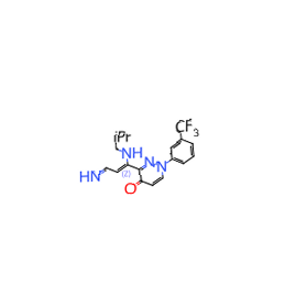 CC(C)CN/C(=C\C=N)c1nn(-c2cccc(C(F)(F)F)c2)ccc1=O